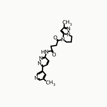 Cc1cncc(-c2ccc(NC(=O)CCC(=O)N3CCCn4nc(C)cc43)nn2)c1